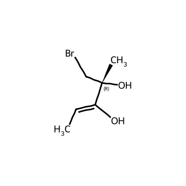 CC=C(O)[C@@](C)(O)CBr